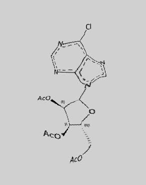 CC(=O)OC[C@H]1OC(n2cnc3c(Cl)ncnc32)[C@H](OC(C)=O)[C@@H]1OC(C)=O